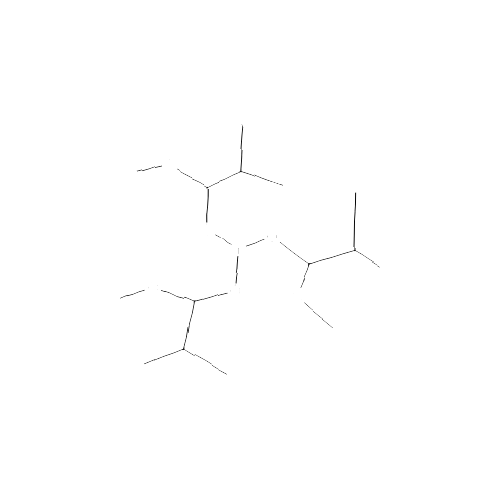 COC([O][Y]([O]C(OC)C(C)C)[O]C(OC)C(C)C)C(C)C